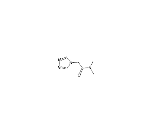 CN(C)C(=O)Cn1[c]nnc1